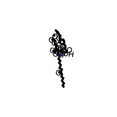 CC#CCOc1ccc(C[C@H](NC(=O)[C@@H](/C=C/CCCCCCC(=O)CCCCCCC)[C@@](O)(CC(=O)OCC(=O)OC)C(=O)O)C(=O)O)cc1